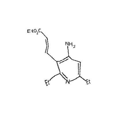 CCOC(=O)C=Cc1c(N)cc(CC)nc1CC